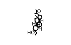 CC[C@@]1(O)CC[C@H]2[C@@H](CC[C@@H]3[C@@H]2CC[C@]2(C)[C@@H](C4(C)CO4)CC[C@@H]32)C1